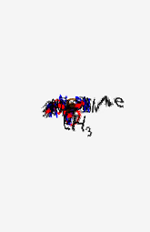 CSN1CCN(Cc2cc3c(=O)n(C)cc(-c4cncc(OCc5ccccn5)c4)c3s2)CC1